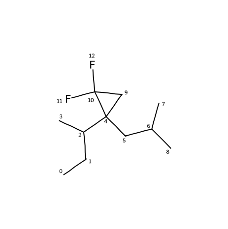 CCC(C)C1(CC(C)C)CC1(F)F